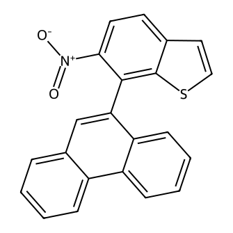 O=[N+]([O-])c1ccc2ccsc2c1-c1cc2ccccc2c2ccccc12